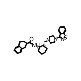 O=C(NC[C@H]1CCCC[C@H]1CN1CCN(c2nsc3ccccc23)CC1)C1CCc2ccccc2C1